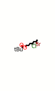 C=C(Br)C[C@H](Cl)CCCOC(=O)C(C)(C)C